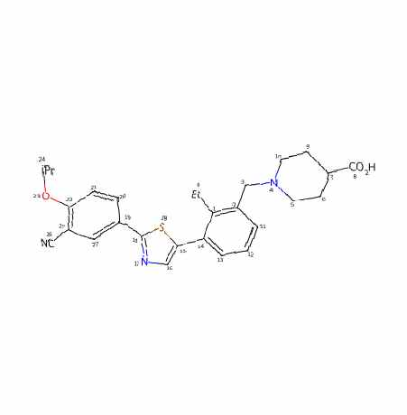 CCc1c(CN2CCC(C(=O)O)CC2)cccc1-c1cnc(-c2ccc(OC(C)C)c(C#N)c2)s1